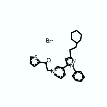 O=C(C[n+]1cccc(-c2cc(CCC3CCCCC3)nn2-c2ccccc2)c1)c1cccs1.[Br-]